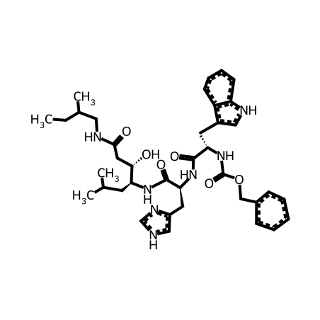 CCC(C)CNC(=O)C[C@H](O)[C@H](CC(C)C)NC(=O)[C@H](Cc1c[nH]cn1)NC(=O)[C@H](Cc1c[nH]c2ccccc12)NC(=O)OCc1ccccc1